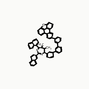 CC1C(c2cccc3ccccc23)=NC(c2ccc3ccccc3c2)=NC(c2cccc(-c3cccc(-c4cccc(-c5ccc6c(c5)c5cccc7oc8cccc6c8c75)c4)c3)c2)C1C